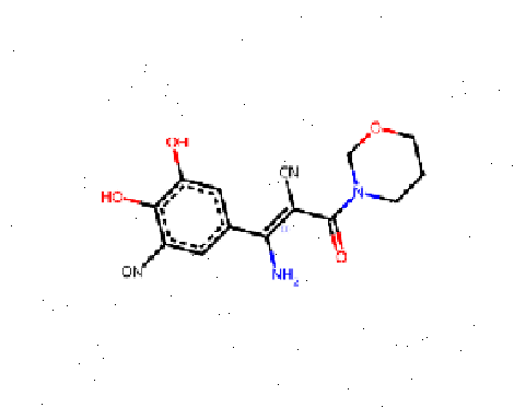 N#C/C(C(=O)N1CCCOC1)=C(/N)c1cc(O)c(O)c(N=O)c1